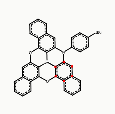 CC(C)(C)c1ccc(N2c3cc4ccccc4c4c3[Si]3(c5ccccc5)c5c(cc6ccccc6c5Oc5c3c2cc2ccccc52)O4)cc1